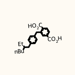 CCCCC(CC)Cc1ccc(Cc2cc(C(=O)O)ccc2C(=O)O)cc1